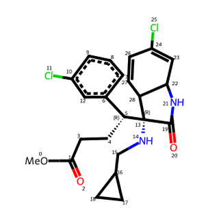 COC(=O)CC[C@H](c1cccc(Cl)c1)[C@]1(NCC2CC2)C(=O)NC2C=C(Cl)C=CC21